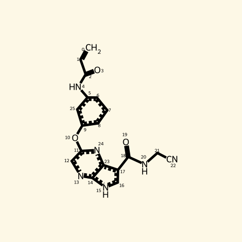 C=CC(=O)Nc1cccc(Oc2cnc3[nH]cc(C(=O)NCC#N)c3n2)c1